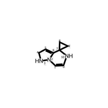 C1=CN2NCC=C2C2(CC2)N1